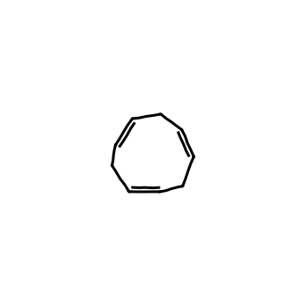 C1=CC/C=C\CC=CC1